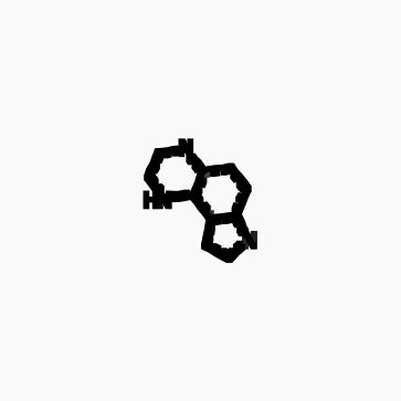 c1cc2c(ccc3ncc[nH]c32)n1